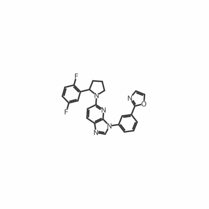 Fc1ccc(F)c(C2CCCN2c2ccc3ncn(-c4cccc(-c5ncco5)c4)c3n2)c1